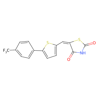 O=C1NC(=O)/C(=C\c2ccc(-c3ccc(C(F)(F)F)cc3)s2)S1